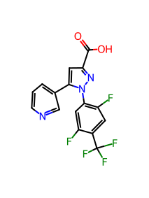 O=C(O)c1cc(-c2cccnc2)n(-c2cc(F)c(C(F)(F)F)cc2F)n1